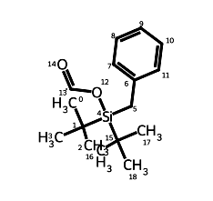 CC(C)(C)[Si](Cc1ccccc1)(O[C]=O)C(C)(C)C